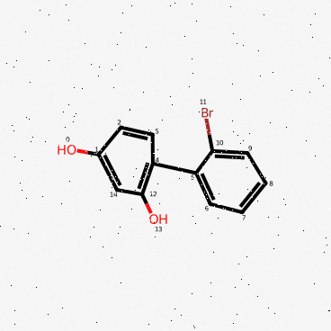 Oc1ccc(-c2ccccc2Br)c(O)c1